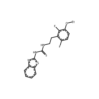 CCOc1ccc(F)c(CCNC(=S)Nc2nc3ccccc3s2)c1F